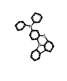 c1ccc(N(c2ccccc2)c2ccc3c(c2)Sc2cccc4c2B3c2ccccc2-4)cc1